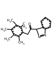 Cc1c(C)c(C)c(CC(=O)C2N=Nc3ccccc32)c(C)c1C